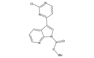 CC(C)(C)OC(=O)n1cc(-c2ccnc(Cl)n2)c2cccnc21